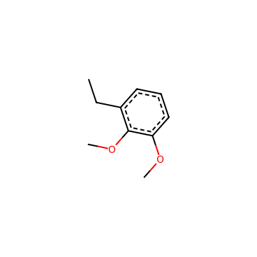 CCc1cccc(OC)c1OC